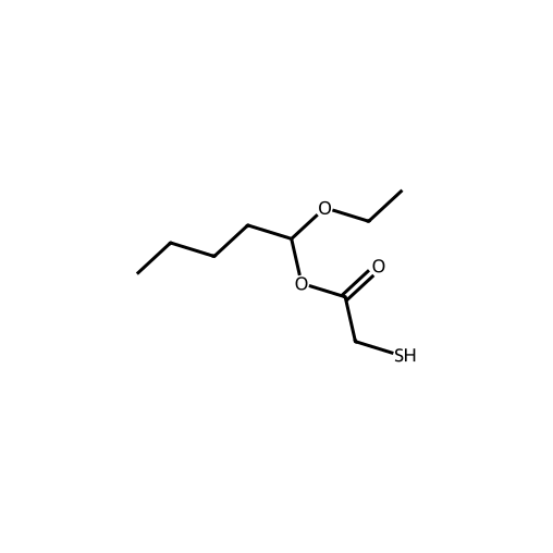 CCCCC(OCC)OC(=O)CS